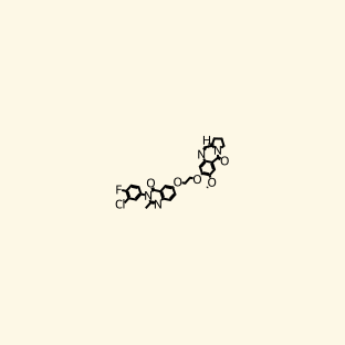 COc1cc2c(cc1OCCOc1ccc3nc(C)n(-c4ccc(F)c(Cl)c4)c(=O)c3c1)N=C[C@@H]1CCCN1C2=O